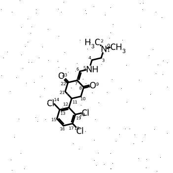 CN(C)CCNC=C1C(=O)CC(c2c(Cl)ccc(Cl)c2Cl)CC1=O